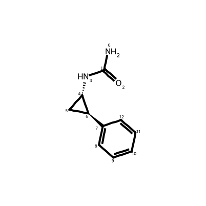 NC(=O)N[C@H]1C[C@@H]1c1ccccc1